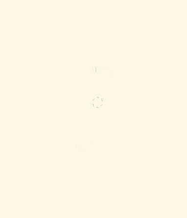 Cc1c(CCCCCCC(C)(C)C(=O)O)cccc1CCCCC(C)(C)C(=O)O